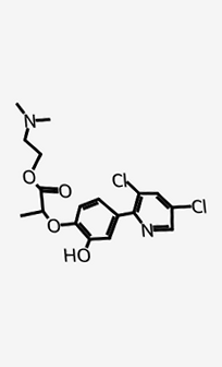 CC(Oc1ccc(-c2ncc(Cl)cc2Cl)cc1O)C(=O)OCCN(C)C